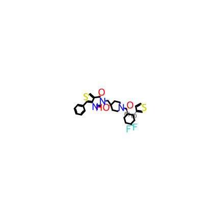 O=C([C@@H]1CCC(F)(F)C[C@H]1c1ccsc1)N1CCC(O)(Cn2cnc3c(-c4ccccc4)scc3c2=O)CC1